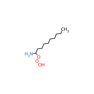 CCCCCCCCCC(N)OOO